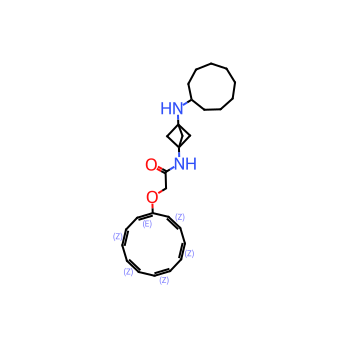 O=C(COC1=C/C=C\C=C/C=C\C=C/C=C\1)NC12CC(NC3CCCCCCCC3)(C1)C2